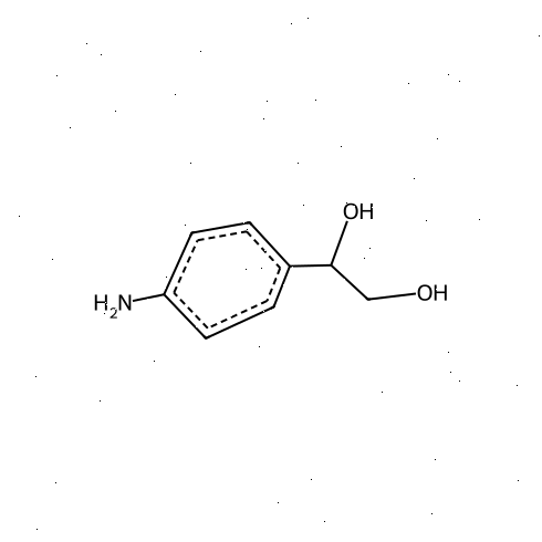 Nc1ccc(C(O)CO)cc1